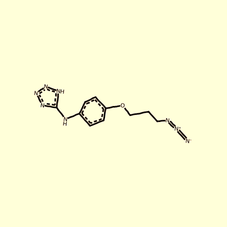 [N-]=[N+]=NCCCOc1ccc(Nc2nnn[nH]2)cc1